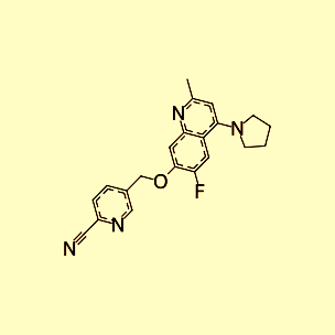 Cc1cc(N2CCCC2)c2cc(F)c(OCc3ccc(C#N)nc3)cc2n1